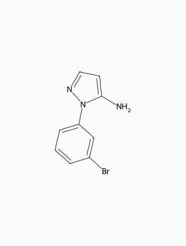 Nc1ccnn1-c1cccc(Br)c1